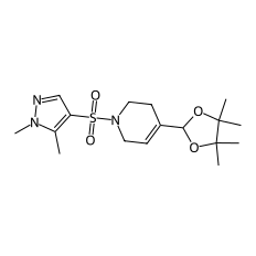 Cc1c(S(=O)(=O)N2CC=C(C3OC(C)(C)C(C)(C)O3)CC2)cnn1C